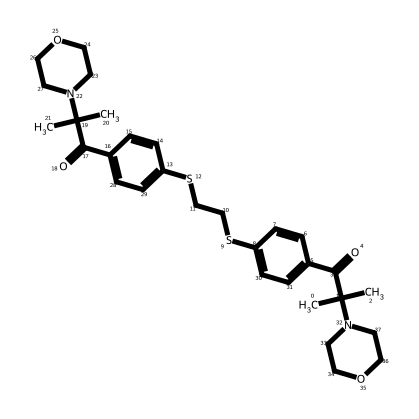 CC(C)(C(=O)c1ccc(SCCSc2ccc(C(=O)C(C)(C)N3CCOCC3)cc2)cc1)N1CCOCC1